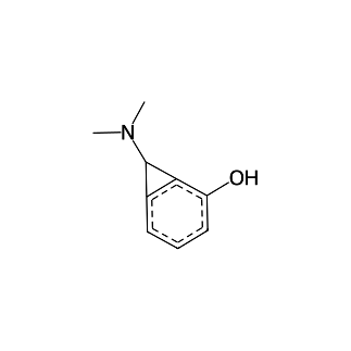 CN(C)C1c2cccc(O)c21